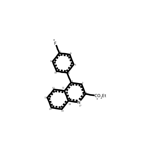 CCOC(=O)c1cc(-c2ccc(F)cc2)c2ccccc2n1